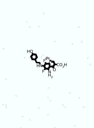 CC(C)n1cc(C(=O)O)c(=O)c2c(N)c(F)c(NCCc3ccc(O)cc3)c(F)c21